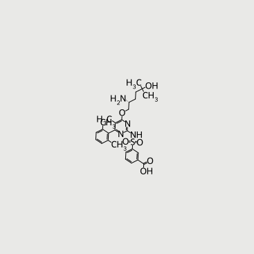 Cc1cccc(C)c1-c1nc(NS(=O)(=O)c2cccc(C(=O)O)c2)nc(OC[C@H](N)CCC(C)(C)O)c1C